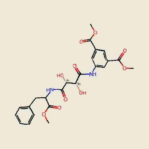 COC(=O)c1cc(NC(=O)[C@H](O)[C@@H](O)C(=O)NC(Cc2ccccc2)C(=O)OC)cc(C(=O)OC)c1